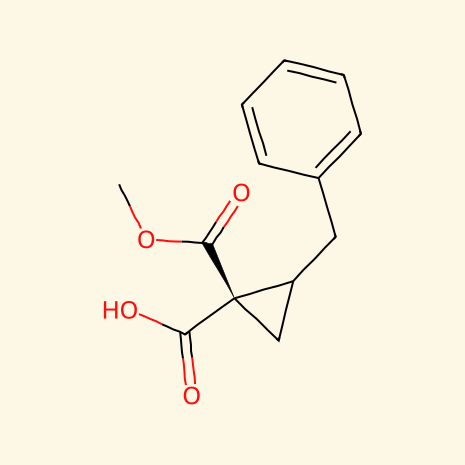 COC(=O)[C@]1(C(=O)O)CC1Cc1ccccc1